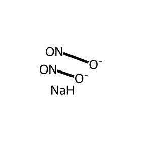 O=[NH+][O-].O=[NH+][O-].[NaH]